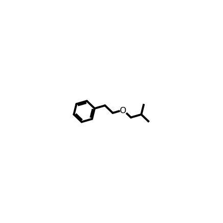 CC(C)COCCc1ccccc1